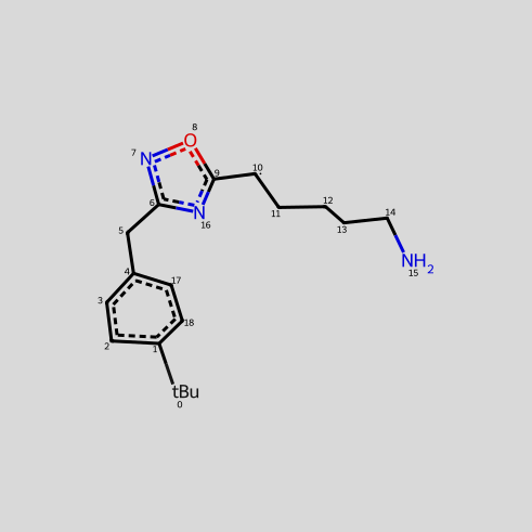 CC(C)(C)c1ccc(Cc2noc([CH]CCCCN)n2)cc1